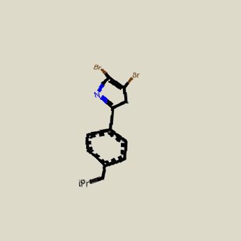 CC(C)Cc1ccc(C2=NC(Br)=C(Br)C2)cc1